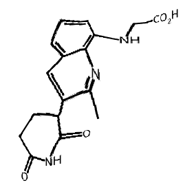 Cc1nc2c(NCC(=O)O)cccc2cc1C1CCC(=O)NC1=O